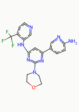 Nc1ccc(-c2cc(Nc3cnccc3C(F)(F)F)nc(N3CCOCC3)n2)cn1